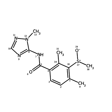 Cc1ccc(C(=O)Nc2ncnn2C)c(C)c1[S+](C)[O-]